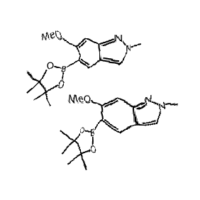 COc1cc2nn(C)cc2cc1B1OC(C)(C)C(C)(C)O1.COc1cc2nn(C)cc2cc1B1OC(C)(C)C(C)(C)O1